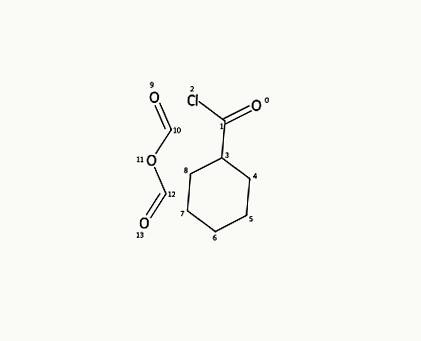 O=C(Cl)C1CCCCC1.O=COC=O